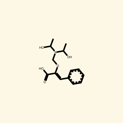 CC(O)N(COC(=Cc1ccccc1)C(=O)O)C(C)O